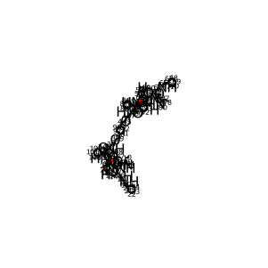 CC[C@H](NC)C(=O)N[C@@H]1C(=O)N2[C@@H](CC[C@@H]1CCNCc1ccccc1)CC[C@H]2C(=O)NC(C(=O)NCCOCc1ccc(COCCNC(=O)C(NC(=O)[C@@H]2CC[C@@H]3CC[C@H](CCNCc4ccccc4)[C@H](NC(=O)[C@H](CC)NC)C(=O)N32)(c2ccccc2)c2ccccc2)cc1)(c1ccccc1)c1ccccc1